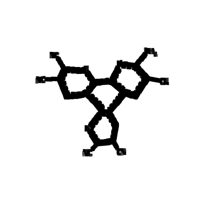 N#Cc1cc2c3cc(C#N)c(C#N)nc3c3cc(C#N)c(C#N)nc3c2nc1N